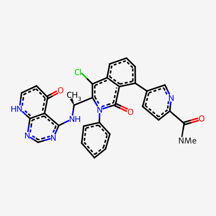 CNC(=O)c1ccc(-c2cccc3c(Cl)c([C@H](C)Nc4ncnc5[nH]ccc(=O)c45)n(-c4ccccc4)c(=O)c23)cn1